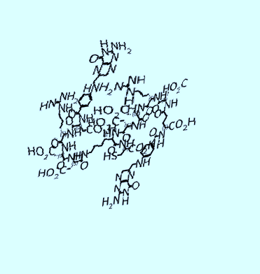 N=C(N)NCCC[C@H](NC(=O)[C@H](CC(=O)O)NC(=O)CC[C@H](NC(=O)c1ccc(NCc2cnc3nc(N)[nH]c(=O)c3n2)cc1)C(=O)O)C(=O)N[C@@H](CC(=O)O)C(=O)N[C@@H](CC(=O)O)C(=O)NC(CCCCNC(=O)[C@H](CC(=O)O)NC(=O)[C@H](CC(=O)O)NC(=O)[C@H](CCCNC(=N)N)NC(=O)[C@H](CC(=O)O)NC(=O)c1ccc(NCc2cnc3nc(N)[nH]c(=O)c3n2)cc1)C(=O)N[C@H](CS)C(=O)O